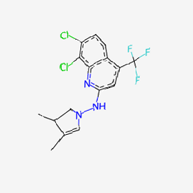 CC1=CN(Nc2cc(C(F)(F)F)c3ccc(Cl)c(Cl)c3n2)CC1C